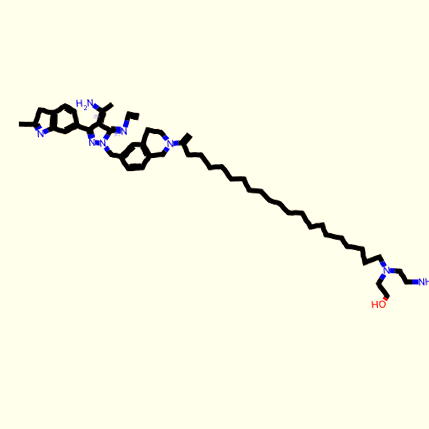 C=C/N=C1\C(=C(/C)N)C(c2ccc3c(c2)N=C(C)C3)=NN1Cc1ccc2c(c1)CCN(C(=C)CCCCCCCCCCCCCCCCCCCCN(CCN)CCO)C2